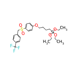 CCO[Si](CCCCOc1ccc(S(=O)(=O)Cc2ccc(C(F)(F)F)cc2)cc1)(OCC)OCC